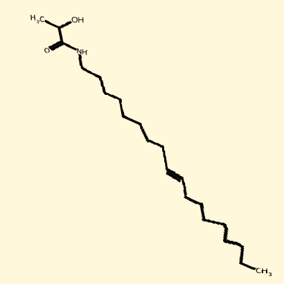 CCCCCCCCC=CCCCCCCCCNC(=O)C(C)O